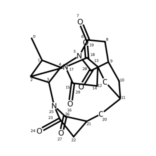 CC1C2C3C1N1C(=O)CC(CC(CC4CC(=O)N2C4=O)CC2CC(=O)N3C2=O)C1=O